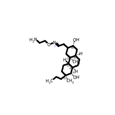 CCC[C@@]1(C)CC[C@H]2[C@@H](CC[C@@H]3C[C@@H](O)C(C/C=N/OCCN)C[C@@]32C)[C@@H]1O